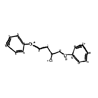 ClC(CCOc1ccccc1)COc1ccccc1